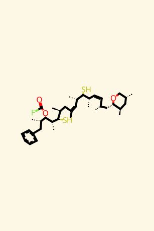 C/C(=C/[C@H](C)[C@@H](S)[C@@H](C)/C=C\[C@@H](C)C[C@@H]1OC[C@H](C)C[C@H]1C)C[C@H](C)[C@@H](S)[C@H](C)[C@@H](OC(=O)F)[C@@H](C)Cc1ccccc1